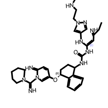 CCC(=N)/C=C(/NC(=O)NC1CC[C@@H](Oc2ccc(=N)n(C(=N)N3CCCCC3)c2)c2ccccc21)Nc1cnn(CCNC)c1